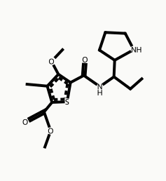 CCC(NC(=O)c1sc(C(=O)OC)c(C)c1OC)C1CCCN1